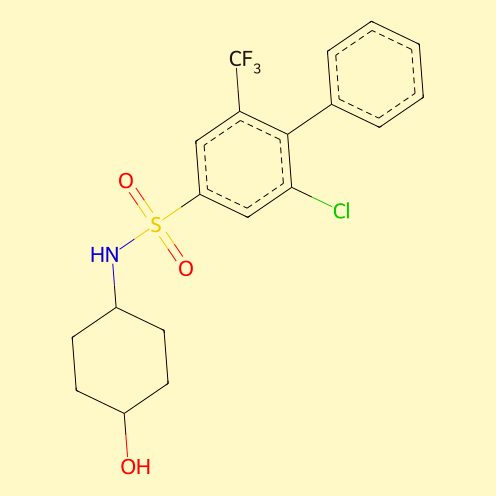 O=S(=O)(NC1CCC(O)CC1)c1cc(Cl)c(-c2ccccc2)c(C(F)(F)F)c1